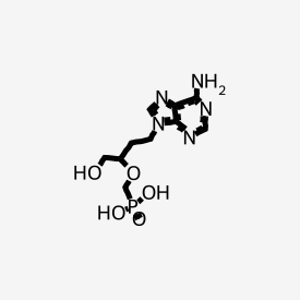 Nc1ncnc2c1ncn2CCC(CO)OCP(=O)(O)O